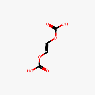 O=C(O)OC=COC(=O)O